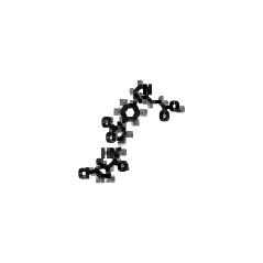 COC(=O)CCC1=NCCN1c1ccc(N2C[C@H](CNC(=O)c3ccc(Cl)s3)OC2=O)cc1